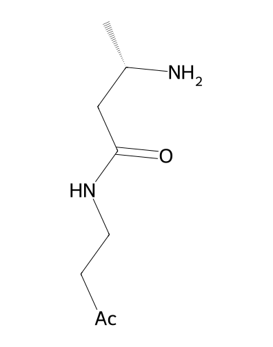 CC(=O)CCNC(=O)C[C@H](C)N